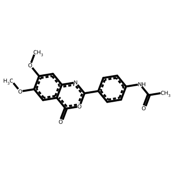 COc1cc2nc(-c3ccc(NC(C)=O)cc3)oc(=O)c2cc1OC